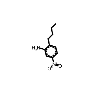 CCCCc1ccc([N+](=O)[O-])cc1N